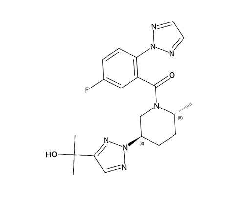 C[C@@H]1CC[C@@H](n2ncc(C(C)(C)O)n2)CN1C(=O)c1cc(F)ccc1-n1nccn1